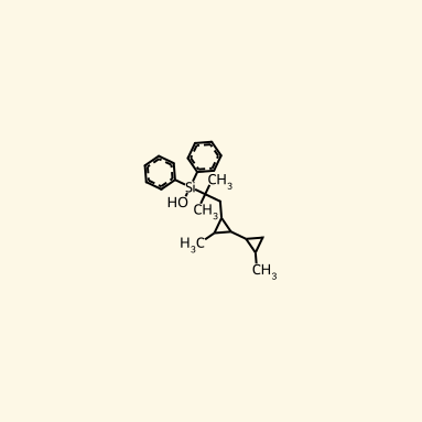 CC1CC1C1C(C)C1CC(C)(C)[Si](O)(c1ccccc1)c1ccccc1